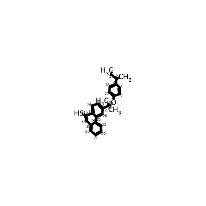 CCC(C)c1ccc(OC(C)(C)c2ccc3c(S)cc4ccccc4c3c2)cc1